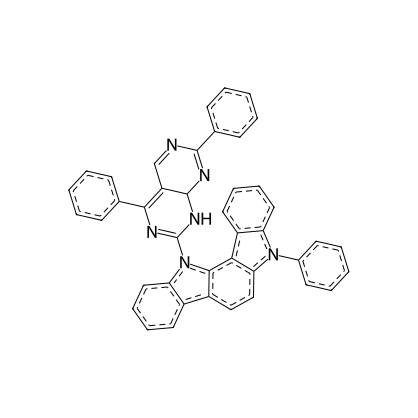 C1=NC(c2ccccc2)=NC2NC(n3c4ccccc4c4ccc5c(c6ccccc6n5-c5ccccc5)c43)=NC(c3ccccc3)=C12